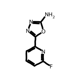 Nc1nnc(-c2cccc(F)n2)o1